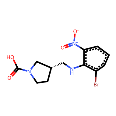 O=C(O)N1CC[C@@H](CNc2c(Br)cccc2[N+](=O)[O-])C1